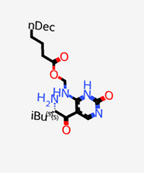 CCCCCCCCCCCCCC(=O)OCNc1[nH]c(=O)ncc1C(=O)[C@@H](N)[C@@H](C)CC